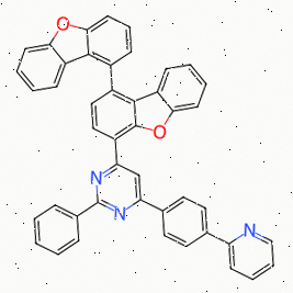 c1ccc(-c2nc(-c3ccc(-c4ccccn4)cc3)cc(-c3ccc(-c4cccc5oc6ccccc6c45)c4c3oc3ccccc34)n2)cc1